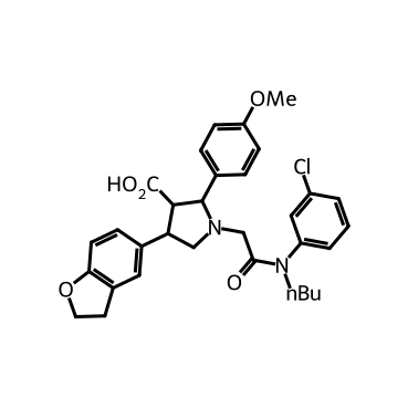 CCCCN(C(=O)CN1CC(c2ccc3c(c2)CCO3)C(C(=O)O)C1c1ccc(OC)cc1)c1cccc(Cl)c1